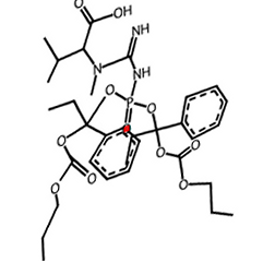 CCCOC(=O)OC(CC)(OP(=O)(NC(=N)N(C)C(C(=O)O)C(C)C)OC(CC)(OC(=O)OCCC)c1ccccc1)c1ccccc1